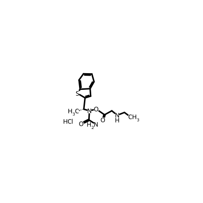 CCNCC(=O)ON(C(N)=O)[C@H](C)c1cc2ccccc2s1.Cl